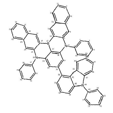 c1ccc(N2c3cc4ccccc4cc3B3c4cc5ccccc5cc4N(c4ccccc4)c4cc(-c5cccc6c5c5ccccc5n6-c5ccccc5)cc2c43)cc1